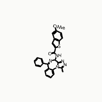 COc1ccc2sc(C(=O)NC3N=C(c4ccccc4)c4ccccc4-n4c(C)nnc43)cc2c1